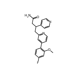 COc1cc(F)ccc1-c1ccnc(CC(CC(N)=O)c2ccncc2)c1